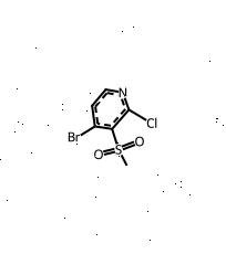 CS(=O)(=O)c1c(Br)ccnc1Cl